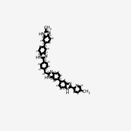 Cc1ccc(-c2nc3cc(-c4ccc5nc(Cc6ccc(-c7nc8cc(-c9ccc%10nc(C)[nH]c%10c9)ccc8[nH]7)cc6)[nH]c5c4)ccc3[nH]2)nc1